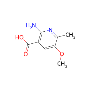 COc1cc(C(=O)O)c(N)nc1C